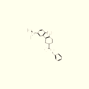 CCN(CC)c1ccc2[nH]c3c(c2c1)CC(C(=O)OCc1ccccc1)CC3